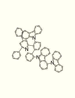 c1ccc(-c2cc(-c3ccccc3)nc(-c3c(-c4ccccc4-n4c5ccccc5c5c(-n6c7ccccc7c7ccccc76)cccc54)cccc3-n3c4ccccc4c4ccccc43)c2)cc1